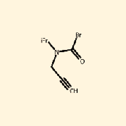 C#CCN(C(=O)Br)C(C)C